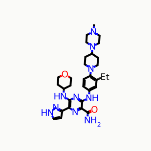 CCc1cc(Nc2nc(NC3CCOCC3)c(-c3cc[nH]n3)nc2C(N)=O)ccc1N1CCC(N2CCN(C)CC2)CC1